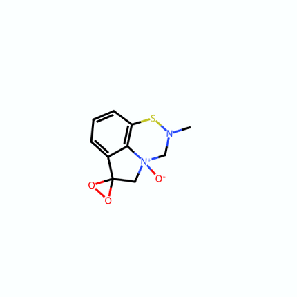 CN1C[N+]2([O-])CC3(OO3)c3cccc(c32)S1